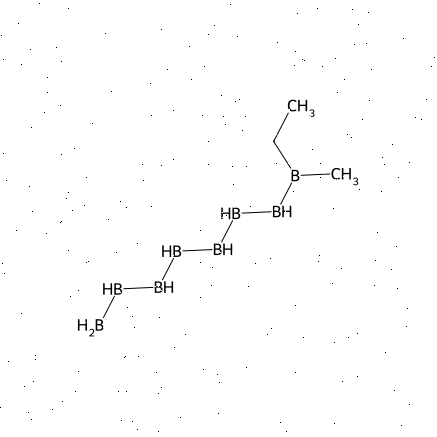 BBBBBBBB(C)CC